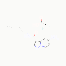 COCCCNC(=O)c1cnn2ccc(N)cc12.O=C(O)C(F)(F)F